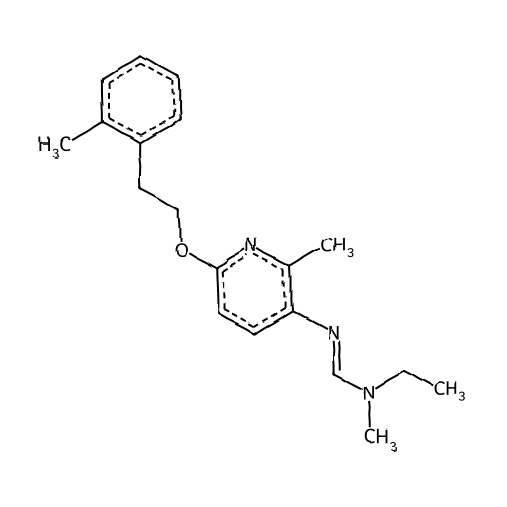 CCN(C)/C=N/c1ccc(OCCc2ccccc2C)nc1C